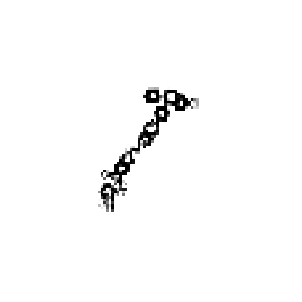 O=C1CC[C@@H](N2C(=O)c3cc4c(cc3C2=O)CN(CCN2CCC3(CC2)CCN(c2ccc([C@@H]5c6ccc(O)cc6CC[C@@H]5c5ccccc5)cc2)CC3)C4)C(=O)N1